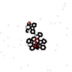 c1ccc(C2(c3ccccc3)c3ccccc3-c3c(-c4ccccc4N(c4ccc5c(c4)-c4ccccc4C54c5ccccc5Sc5ccccc54)c4ccc5c(c4)-c4ccccc4C54c5ccccc5Sc5ccccc54)cccc32)cc1